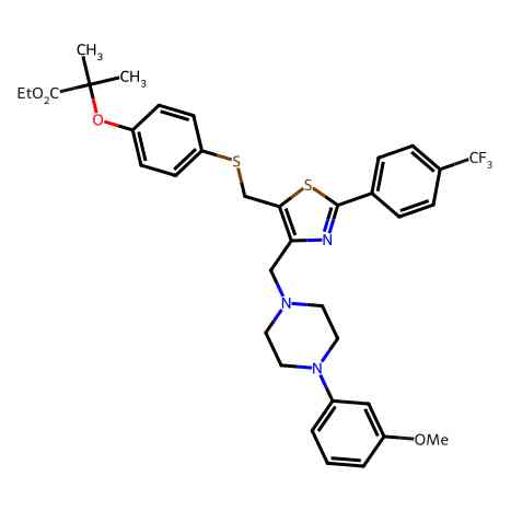 CCOC(=O)C(C)(C)Oc1ccc(SCc2sc(-c3ccc(C(F)(F)F)cc3)nc2CN2CCN(c3cccc(OC)c3)CC2)cc1